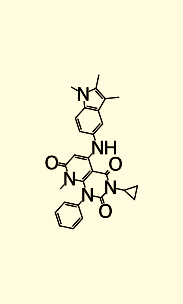 Cc1c(C)n(C)c2ccc(Nc3cc(=O)n(C)c4c3c(=O)n(C3CC3)c(=O)n4-c3ccccc3)cc12